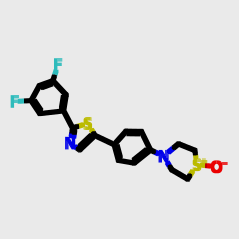 [O-][S+]1CCN(c2ccc(-c3cnc(-c4cc(F)cc(F)c4)s3)cc2)CC1